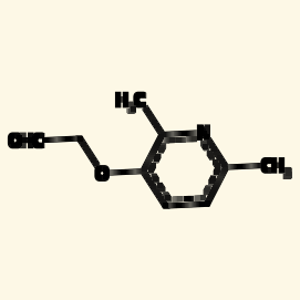 Cc1ccc(OCC=O)c(C)n1